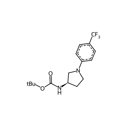 CC(C)(C)OC(=O)N[C@@H]1CCN(c2ccc(C(F)(F)F)cc2)C1